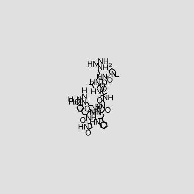 CCN1CCC[C@H]1C(=O)NC(=O)[C@H](CCCNC(=N)N)NC(=O)[C@@H](CC(C)C)NC(=O)C(C)(C)NC(=O)CNC(=O)[C@@H](Cc1c[nH]c2ccccc12)NC(=O)[C@H](CCCNC(=N)N)NC(=O)[C@H](Cc1ccc(O)cc1)NC(=O)[C@@H]1CCC(=O)N1